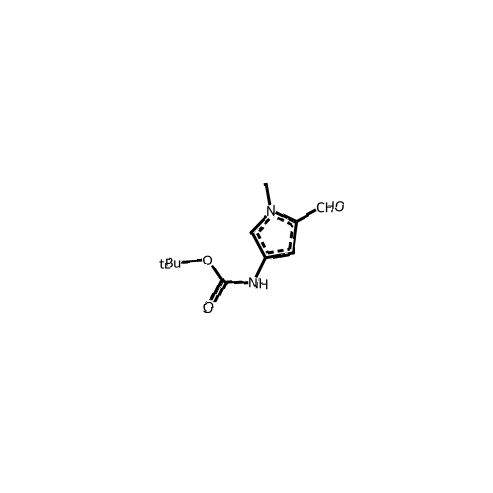 Cn1cc(NC(=O)OC(C)(C)C)cc1C=O